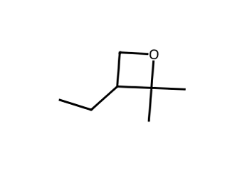 CCC1COC1(C)C